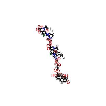 COc1c(N2CC3CCCN(C(=O)OCOC(=O)c4cn(C5CC5)c5c(OC)c(N6CCN(C(=O)OCOC(=O)CCC(=O)OCC(=O)[C@@]7(O)CCC8C9CCC%10=CC(=O)C=C[C@]%10(C)C9[C@@H](O)C[C@@]87C)C(C)C6)c(F)cc5c4=O)C3C2)c(F)cc2c(=O)c(C(=O)O)cn(C3CC3)c12